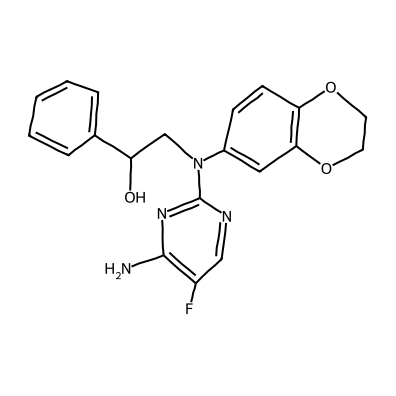 Nc1nc(N(CC(O)c2ccccc2)c2ccc3c(c2)OCCO3)ncc1F